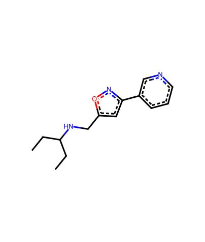 CCC(CC)NCc1cc(-c2cccnc2)no1